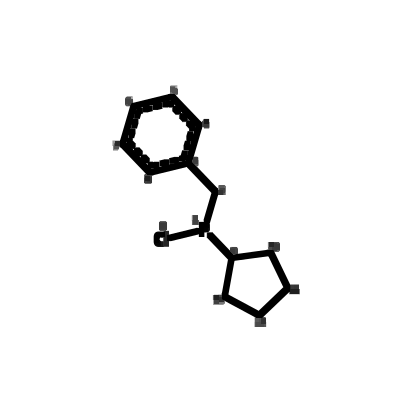 ClP(Cc1ccccc1)C1CCCC1